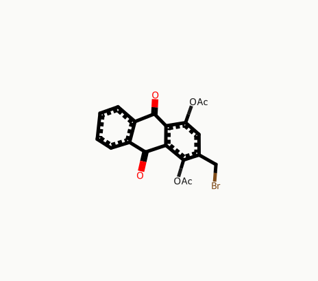 CC(=O)Oc1cc(CBr)c(OC(C)=O)c2c1C(=O)c1ccccc1C2=O